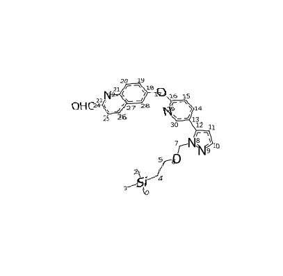 C[Si](C)(C)CCOCn1nccc1-c1ccc(Oc2ccc3nc(C=O)ccc3c2)nc1